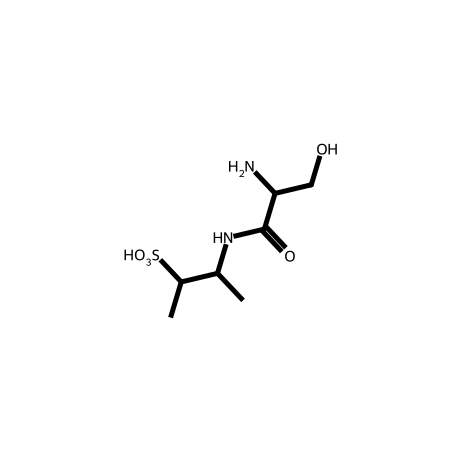 CC(NC(=O)C(N)CO)C(C)S(=O)(=O)O